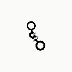 c1ccccc(-c2nc3nc(C4CCCCCCCC4)ccc3s2)cccc1